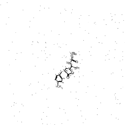 Cc1ccc(C[C@@H]2C[C@@H]([C@@H](NC(=O)OC(C)(C)C)C(C)C)OC2=O)cc1